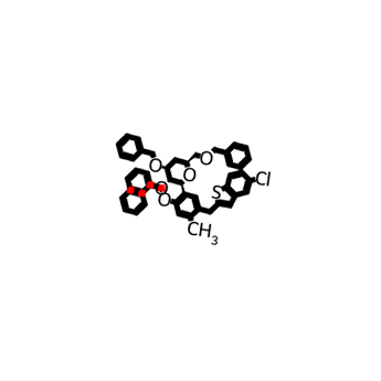 Cc1cc(OCc2ccccc2)c([C@@H]2O[C@H](COCc3ccccc3)C[C@H](OCc3ccccc3)[C@H]2OCc2ccccc2)cc1Cc1cc2cc(Cl)ccc2s1